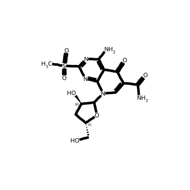 CS(=O)(=O)c1nc(N)c2c(=O)c(C(N)=O)cn(C3O[C@H](CO)C[C@H]3O)c2n1